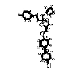 Cc1ccc(CCC2(Cn3ccnc3)OCC(COc3ccc(-c4ccc(Cl)cc4)cc3)O2)cc1